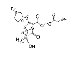 CC(C)CC(=O)OCOC(=O)C1=C(S[C@H]2CC[S@@+]([O-])C2)S[C@@H]2[C@@H]([C@@H](C)O)C(=O)N12